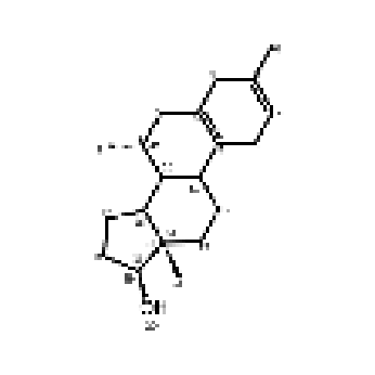 CC1=CCC2=C(C1)C[C@@H](C)C1C2CC[C@@]2(C)C1CC[C@@H]2O